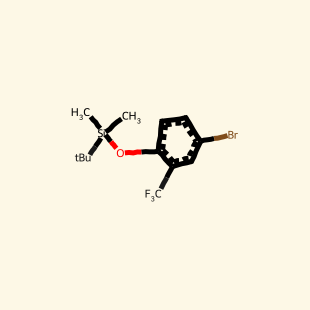 CC(C)(C)[Si](C)(C)Oc1ccc(Br)cc1C(F)(F)F